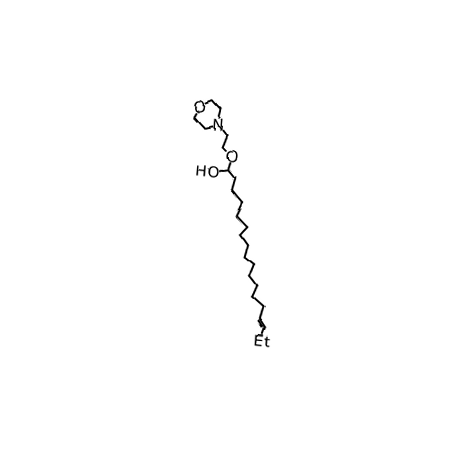 CC/C=C/CCCCCCCCCCCCCC(O)OCCN1CCOCC1